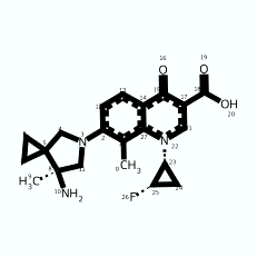 Cc1c(N2CC3(CC3)[C@](C)(N)C2)ccc2c(=O)c(C(=O)O)cn([C@@H]3C[C@@H]3F)c12